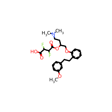 COc1cccc(CCc2ccccc2OCC(CCN(C)C)OC(=O)C(F)C(F)C(=O)O)c1